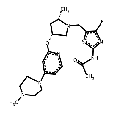 CC(=O)Nc1nc(F)c(CN2C[C@H](Oc3cc(N4CCN(C)CC4)ccn3)C[C@@H]2C)s1